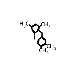 Cc1cc(C)c(Cc2ccc(C)c(C)c2)c(I)c1